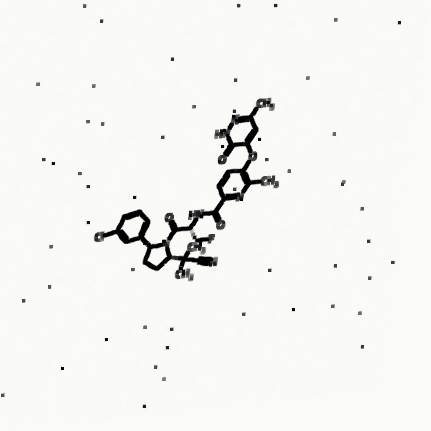 Cc1cc(Oc2ccc(C(=O)N[C@H](CF)C(=O)N3C(c4cccc(Cl)c4)CC[C@@H]3C(C)(C)C#N)nc2C)c(=O)[nH]n1